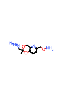 CC1(CN=[N+]=[N-])OCc2nc(CON)ccc2O1